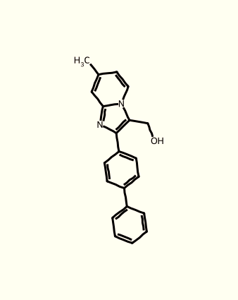 Cc1ccn2c(CO)c(-c3ccc(-c4ccccc4)cc3)nc2c1